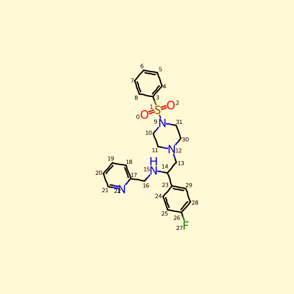 O=S(=O)(c1ccccc1)N1CCN(CC(NCc2ccccn2)c2ccc(F)cc2)CC1